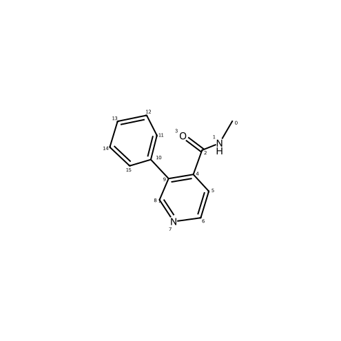 CNC(=O)c1ccn[c]c1-c1ccccc1